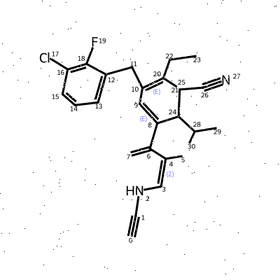 C#CN/C=C(/C)C(=C)/C(=C/C(Cc1cccc(Cl)c1F)=C(\C)CC)C(CC#N)C(C)C